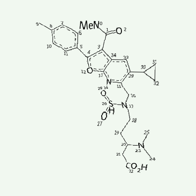 CNC(=O)c1c(-c2ccc(C)cc2)oc2nc(CN(CCC(CC(=O)O)N(C)C)[SH](=O)=O)c(C3CC3)cc12